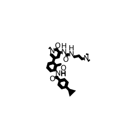 CN(C)CCCNC(=O)Nc1cc(-c2cccc(NC(=O)c3ccc(C4CC4)cc3)c2CO)cn(C)c1=O